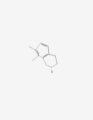 CCOC(=O)[C@H]1Cc2c(ccc(Cl)c2Cl)[C@H](N)C1